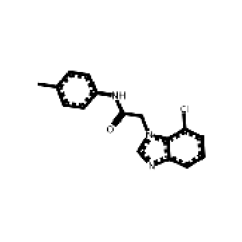 Cc1ccc(NC(=O)Cn2cnc3cccc(Cl)c32)cc1